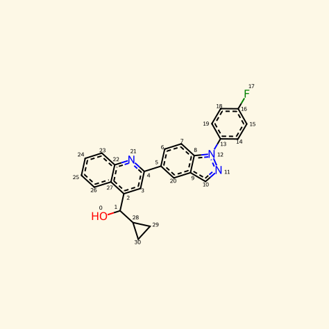 OC(c1cc(-c2ccc3c(cnn3-c3ccc(F)cc3)c2)nc2ccccc12)C1CC1